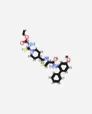 CCOC(=O)NC(=S)N1CCC(c2nc(C(=O)Nc3cc(OC)ccc3-c3ccccc3)cs2)CC1